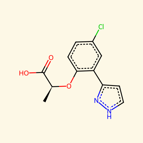 C[C@H](Oc1ccc(Cl)cc1-c1cc[nH]n1)C(=O)O